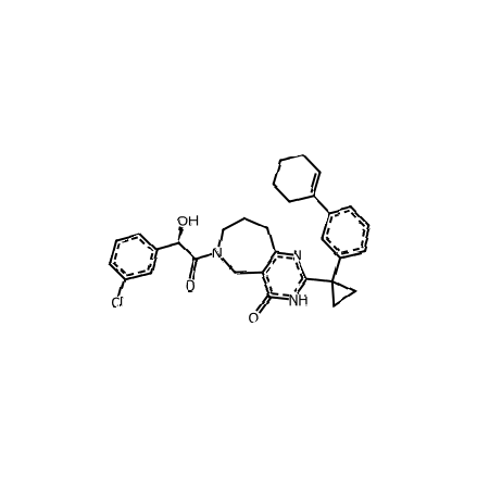 O=C([C@H](O)c1cccc(Cl)c1)N1CCCc2nc(C3(c4cccc(C5=CCCCC5)c4)CC3)[nH]c(=O)c2C1